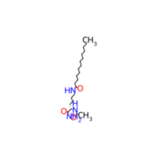 CCCCCCCCCCCCCC(=O)NCCCC[C@H](NC(C)=O)C(N)=O